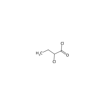 CCC(Cl)C(=O)Cl